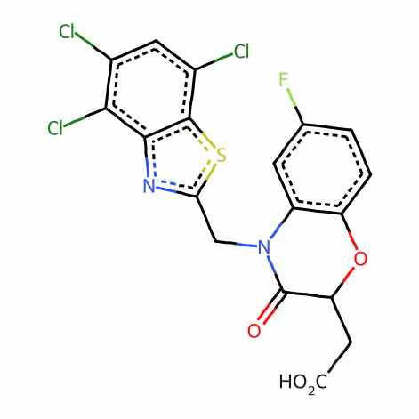 O=C(O)CC1Oc2ccc(F)cc2N(Cc2nc3c(Cl)c(Cl)cc(Cl)c3s2)C1=O